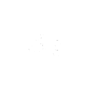 O=C1OC(c2ccccc2)N(C(=O)OCc2ccccc2)C1CCc1ccccc1